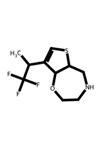 CC(C1=CSC2CNCCOC12)C(F)(F)F